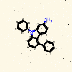 Nc1ccc2c3c(-c4ccccc4)cccc3n(-c3ccccc3)c2c1